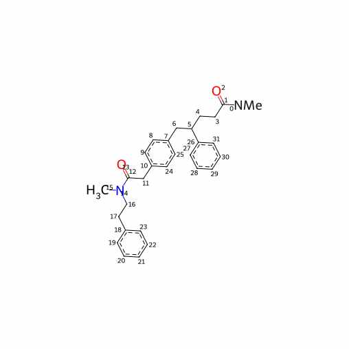 CNC(=O)CCC(Cc1ccc(CC(=O)N(C)CCc2ccccc2)cc1)c1ccccc1